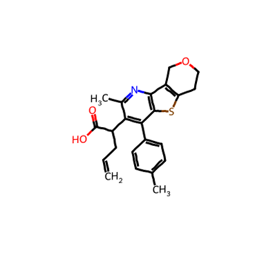 C=CCC(C(=O)O)c1c(C)nc2c3c(sc2c1-c1ccc(C)cc1)CCOC3